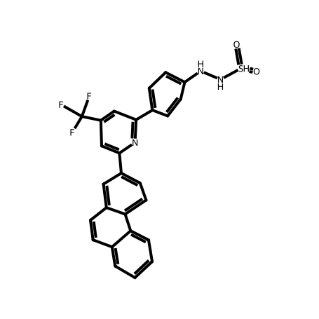 O=[SH](=O)NNc1ccc(-c2cc(C(F)(F)F)cc(-c3ccc4c(ccc5ccccc54)c3)n2)cc1